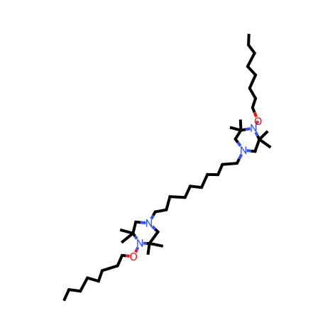 CCCCCCCCON1C(C)(C)CN(CCCCCCCCCCN2CC(C)(C)N(OCCCCCCCC)C(C)(C)C2)CC1(C)C